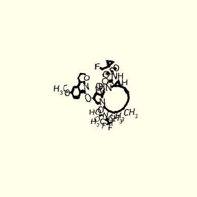 COc1ccc2c(O[C@@H]3C[C@H]4C(=O)N[C@]5(C(=O)NS(=O)(=O)C6(CF)CC6)C[C@H]5C=CCC[C@H](C)C[C@@H](C)[C@H](N(C(=O)O)C(C)(C)C(F)(F)F)C(=O)N4C3)nc3c(c2c1)CCCO3